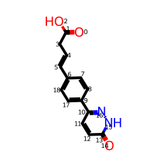 O=C(O)CC=Cc1ccc(-c2ccc(=O)[nH]n2)cc1